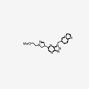 COCCN1CC(c2cnc3nnn(Cc4ccc5nccn5c4)c3n2)C=N1